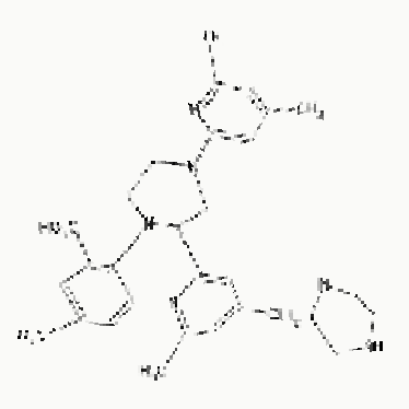 C1CNCCN1.Cc1cc(C)nc(C2CN(c3cc(C)cc(C)n3)CCN2c2ccc([N+](=O)[O-])cc2C(=O)O)c1